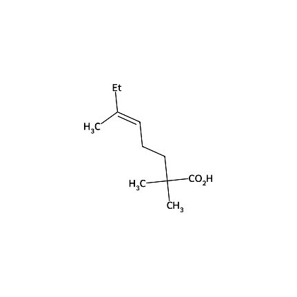 CCC(C)=CCCC(C)(C)C(=O)O